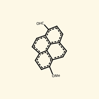 COc1ccc2ccc3c(C=O)ccc4ccc1c2c43